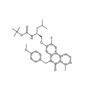 COc1ccc(Cn2c(=O)c3c(C)nccc3c3cc(F)c(OC[C@H](CC(C)C)NC(=O)OC(C)(C)C)cc32)cc1